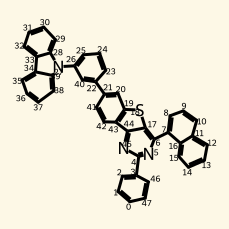 c1ccc(-c2nc(-c3cccc4ccccc34)c3sc4cc(-c5cccc(-n6c7ccccc7c7ccccc76)c5)ccc4c3n2)cc1